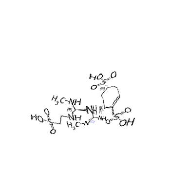 C/N=C(\N[C@H](NC)NCCS(=O)(=O)O)N[C@@H]1C[C@H](S(=O)(=O)O)CC=C1S(=O)(=O)O